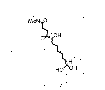 CNC(=O)CCC(=O)N(O)CCCCCNC(O)O